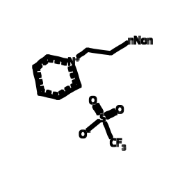 CCCCCCCCCCC[n+]1ccccc1.O=S(=O)([O-])C(F)(F)F